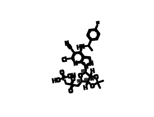 CC(Nc1c(C#N)c(Cl)nc2c1cnn2[C@@H]1O[C@H](CS(=O)(=O)CP(=O)(O)O)[C@H]2OC(C)(C)O[C@H]21)c1ccc(F)cc1